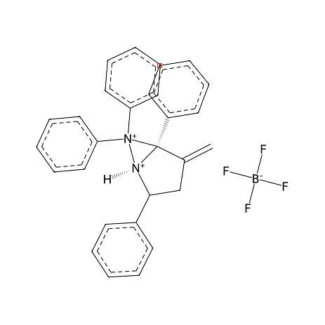 C=C1CC(c2ccccc2)[N@@H+]2[C@@]1(c1ccccc1)[N+]2(c1ccccc1)c1ccccc1.F[B-](F)(F)F